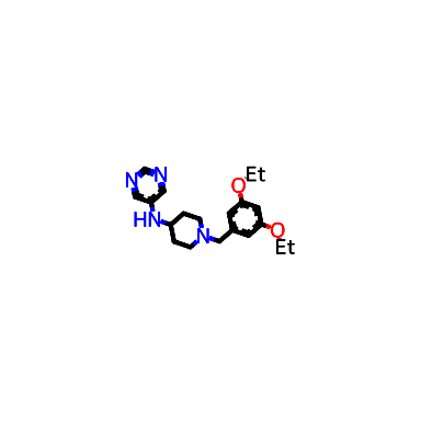 CCOc1cc(CN2CCC(Nc3cncnc3)CC2)cc(OCC)c1